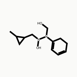 CC1CC1CN(O)N(CO)C1=CC=CCC1